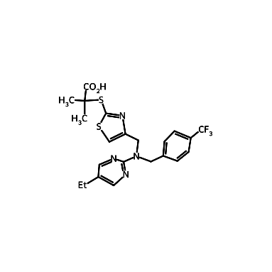 CCc1cnc(N(Cc2ccc(C(F)(F)F)cc2)Cc2csc(SC(C)(C)C(=O)O)n2)nc1